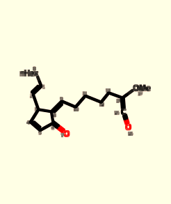 CCCCCCC=CC1C=CC(=O)C1=CCCCCC(=C=O)OC